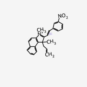 C=CCC1(C)C(/C=C/c2cccc([N+](=O)[O-])c2)=[N+](C)c2ccc3ccccc3c21